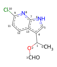 CC(OC=O)c1c[nH]c2nc(Cl)ccc12